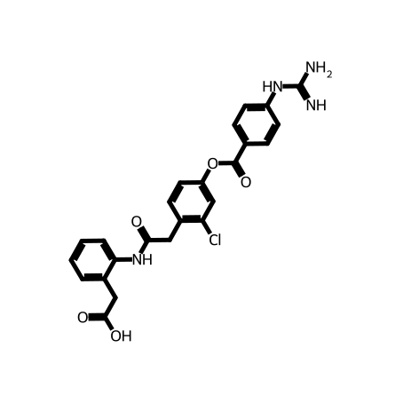 N=C(N)Nc1ccc(C(=O)Oc2ccc(CC(=O)Nc3ccccc3CC(=O)O)c(Cl)c2)cc1